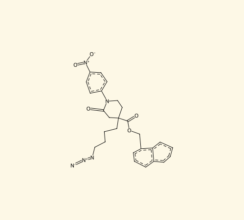 [N-]=[N+]=NCCCCC1(C(=O)OCc2cccc3ccccc23)CCN(c2ccc([N+](=O)[O-])cc2)C(=O)C1